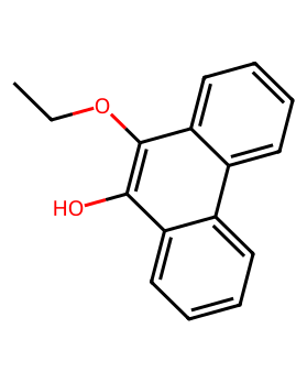 CCOc1c(O)c2ccccc2c2ccccc12